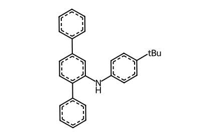 CC(C)(C)c1ccc(Nc2cc(-c3ccccc3)ccc2-c2ccccc2)cc1